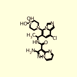 CC(NC(=O)c1c(N)nn2cccnc12)c1cc(Cl)c2cncn2c1N1CCS(O)(O)CC1